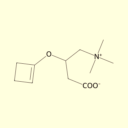 C[N+](C)(C)CC(CC(=O)[O-])OC1=CCC1